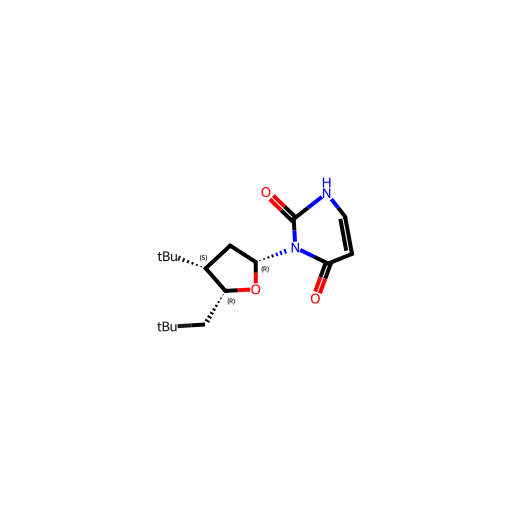 CC(C)(C)C[C@H]1O[C@@H](n2c(=O)cc[nH]c2=O)C[C@H]1C(C)(C)C